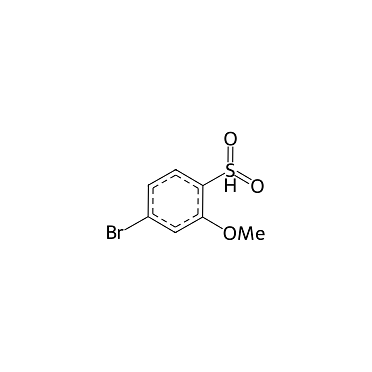 COc1cc(Br)ccc1[SH](=O)=O